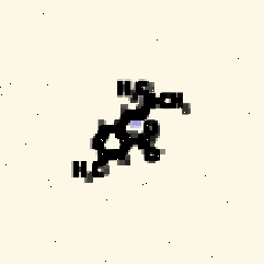 Cc1ccc(/C=C/N(C)C)c([N+](=O)[O-])c1